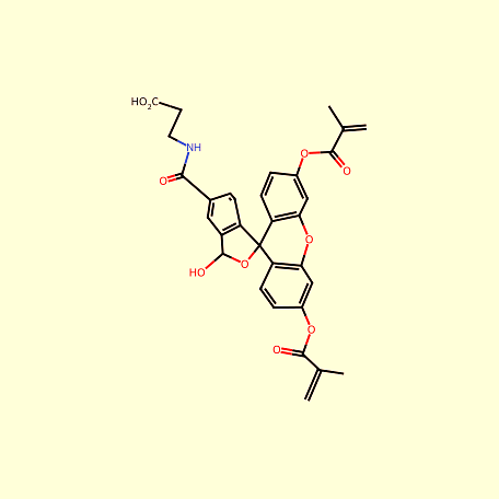 C=C(C)C(=O)Oc1ccc2c(c1)Oc1cc(OC(=O)C(=C)C)ccc1C21OC(O)c2cc(C(=O)NCCC(=O)O)ccc21